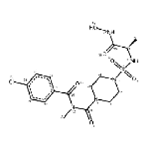 C[C@@H](NS(=O)(=O)N1CCN(C(=O)N(C)C(=O)c2ccc(Cl)cc2)CC1)C(=O)NO